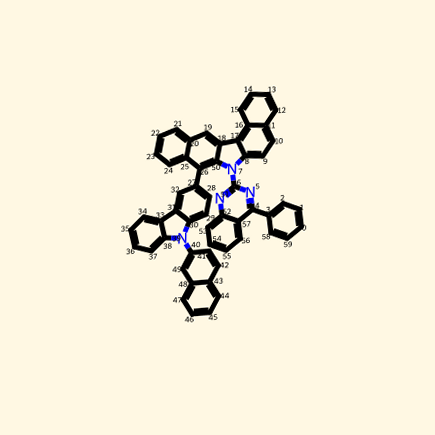 c1ccc(-c2nc(-n3c4ccc5ccccc5c4c4cc5ccccc5c(-c5ccc6c(c5)c5ccccc5n6-c5ccc6ccccc6c5)c43)nc3ccccc23)cc1